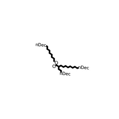 CCCCCCCCCCCCCCCCCCOC(=O)C(CCCCCCCCCCCC)CCCCCCCCCCCCCCCCCC